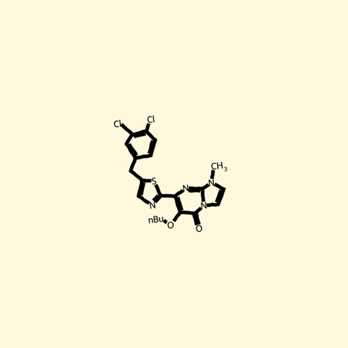 CCCCOc1c(-c2ncc(Cc3ccc(Cl)c(Cl)c3)s2)nc2n(C)ccn2c1=O